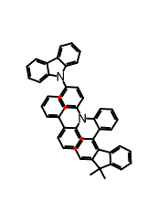 CC1(C)c2ccccc2-c2c(-c3ccccc3N(c3ccc(-n4c5ccccc5c5ccccc54)cc3)c3ccccc3-c3ccccc3)cccc21